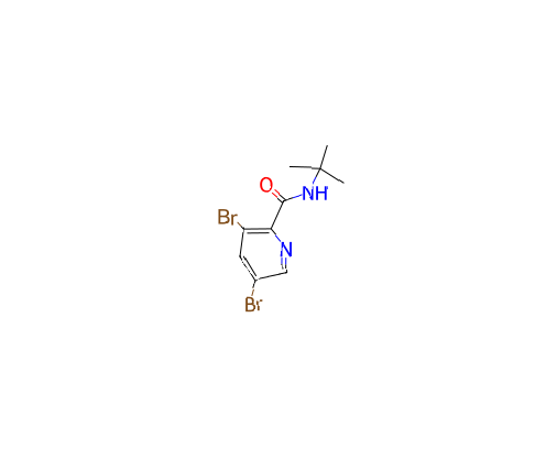 CC(C)(C)NC(=O)c1ncc(Br)cc1Br